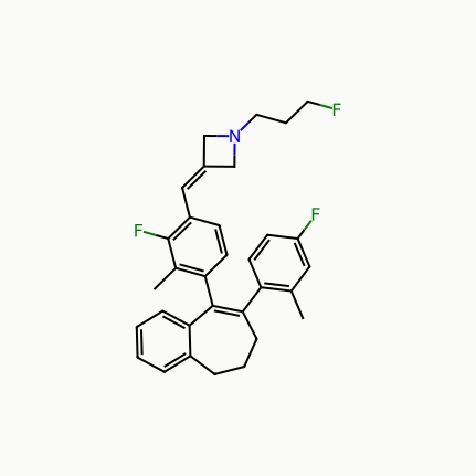 Cc1cc(F)ccc1C1=C(c2ccc(C=C3CN(CCCF)C3)c(F)c2C)c2ccccc2CCC1